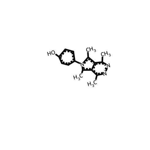 Cc1nnc(C)c2c(C)n(-c3ccc(O)cc3)c(C)c12